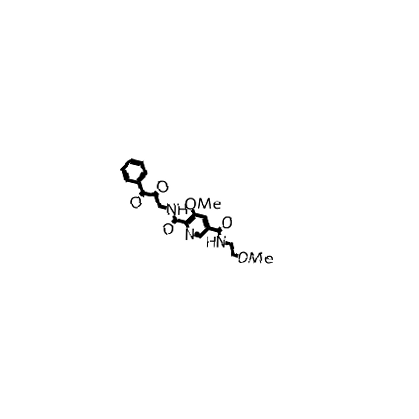 COCCNC(=O)c1cnc(C(=O)NCC(=O)C(=O)c2ccccc2)c(OC)c1